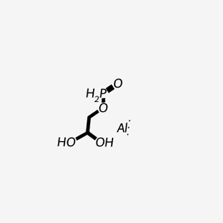 O=[PH2]OCC(O)O.[Al]